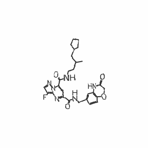 CC(CCNC(=O)c1cc(C(=O)NCc2ccc3c(c2)NC(=O)CO3)nc2c(F)cnn12)CC1CCCC1